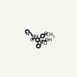 COc1ccc(-c2cc(C(=O)NCCc3ccccn3)cc(-c3ccccc3F)c2OCC(=O)O)cc1